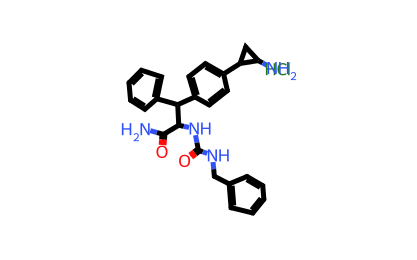 Cl.NC(=O)C(NC(=O)NCc1ccccc1)C(c1ccccc1)c1ccc(C2CC2N)cc1